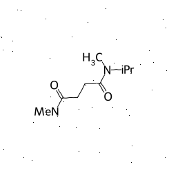 CNC(=O)CCC(=O)N(C)C(C)C